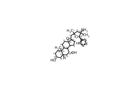 CC(C)(C[C@H]1CCC2C3C(CC[C@@]21C)[C@@]1(C)CC[C@@H](O)C[C@H]1C[C@H]3O)CC(C)(N)Cc1nnn[nH]1